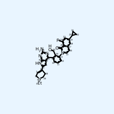 CCN1CC=C(c2cc3c(-c4cccc(-n5ccc6cc(C7CC7)cc(F)c6c5=O)c4CO)nc(N)nc3[nH]2)CC1